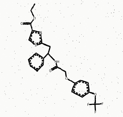 CCOC(=O)c1csc(CC(NC(=O)COc2ccc(OC(F)(F)F)cc2)c2ccccc2)n1